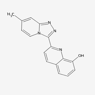 Cc1ccn2c(-c3ccc4cccc(O)c4n3)nnc2c1